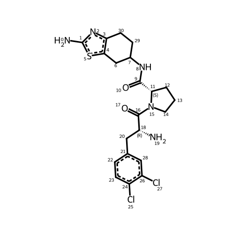 Nc1nc2c(s1)CC(NC(=O)[C@@H]1CCCN1C(=O)[C@H](N)Cc1ccc(Cl)c(Cl)c1)CC2